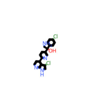 NCC(O)(c1ccc(Cl)cc1)c1ccc(-c2ccnc3[nH]cc(Cl)c23)nc1